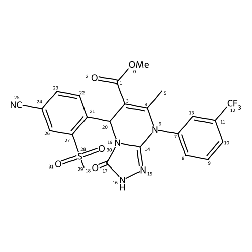 COC(=O)C1=C(C)N(c2cccc(C(F)(F)F)c2)c2n[nH]c(=O)n2C1c1ccc(C#N)cc1S(C)(=O)=O